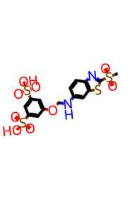 CS(=O)(=O)c1nc2ccc(NCOc3cc(S(=O)(=O)O)cc(S(=O)(=O)O)c3)cc2s1